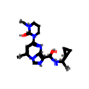 Cc1cc(N2CCCN(C(C)C)C2=O)nc2c(C(O)NC(C3CC3)C(F)(F)F)ncn12